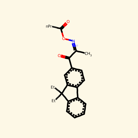 CCCC(=O)O/N=C(/C)C(=O)c1ccc2c(c1)C(CC)(CC)c1ccccc1-2